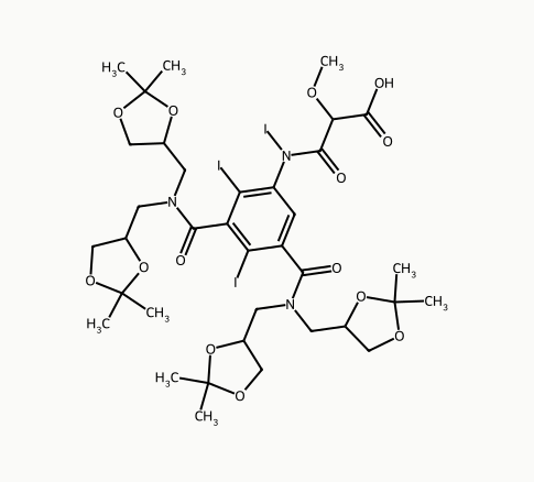 COC(C(=O)O)C(=O)N(I)c1cc(C(=O)N(CC2COC(C)(C)O2)CC2COC(C)(C)O2)c(I)c(C(=O)N(CC2COC(C)(C)O2)CC2COC(C)(C)O2)c1I